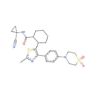 Cc1nc(-c2ccc(N3CCS(=O)(=O)CC3)cc2)c(C2CCCCC2C(=O)NC2(C#N)CC2)s1